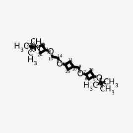 CC(C)(C)OC1CC(OCC2CC(OCCOC3CN(C(C)(C)C)C3)C2)C1